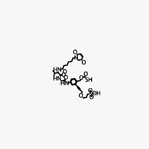 CC(C)[C@H](NC(=O)CCCCCN1CC(=O)C=CC1=O)C(=O)N[C@@H](C)C(=O)Nc1ccc(COC(=O)S)c(C#CCOCCCS(=O)(=O)O)c1